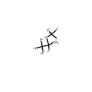 [CH2]C(F)(OC(F)(F)F)C(F)(F)F